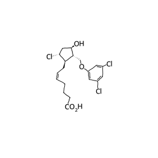 O=C(O)CCC/C=C\C[C@@H]1[C@@H](COc2cc(Cl)cc(Cl)c2)[C@H](O)C[C@H]1Cl